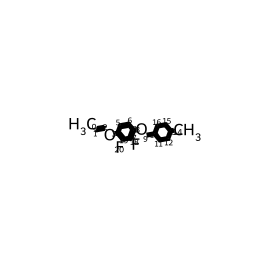 C/C=C/Oc1ccc(OCC2CCC(C)CC2)c(F)c1F